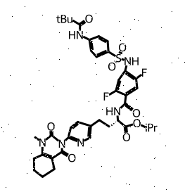 CC(C)OC(=O)[C@H](CCc1ccc(-n2c(=O)c3c(n(C)c2=O)CCCC3)nc1)NC(=O)c1cc(F)c(NS(=O)(=O)c2ccc(NC(=O)C(C)(C)C)cc2)cc1F